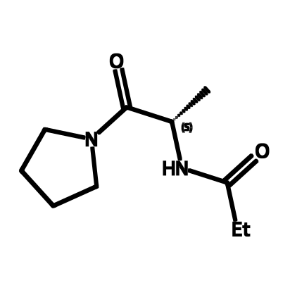 CCC(=O)N[C@@H](C)C(=O)N1CCCC1